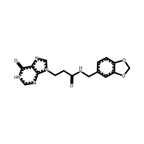 O=C(CCn1cnc2c(=O)[nH]cnc21)NCc1ccc2c(c1)OCO2